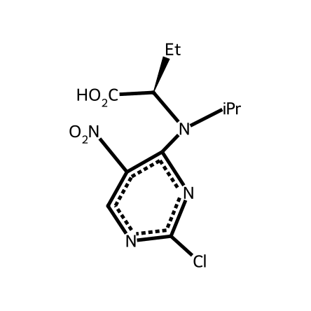 CC[C@H](C(=O)O)N(c1nc(Cl)ncc1[N+](=O)[O-])C(C)C